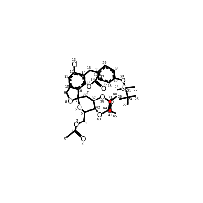 CC(=O)OC[C@H]1O[C@]2(OCc3cc(Cl)c(Cc4ccc(O[Si](C)(C)C(C)(C)C)cc4)cc32)[C@H](OC(C)=O)[C@@H](OC(C)=O)[C@H]1OC(C)=O